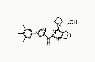 Cc1cc(-n2cnc(Nc3nc4c(c(N5CCC[C@@H]5CO)n3)COC4)c2)cc(C)c1C